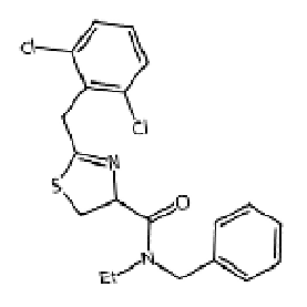 CCN(Cc1ccccc1)C(=O)C1CSC(Cc2c(Cl)cccc2Cl)=N1